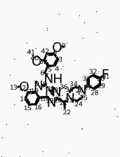 COc1ccc(CNc2nc3c(OC)cccc3c3nc(C(C)N4CCN(c5ccc(F)cc5)C[C@H]4C)nn23)c(OC)c1